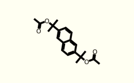 CC(=O)OC(C)(C)c1ccc2cc(C(C)(C)OC(C)=O)ccc2c1